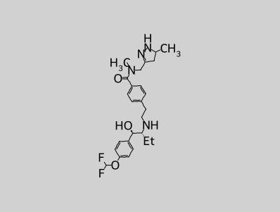 CC[C@@H](NCCc1ccc(C(=O)N(C)CC2=NNC(C)C2)cc1)[C@H](O)c1ccc(OC(F)F)cc1